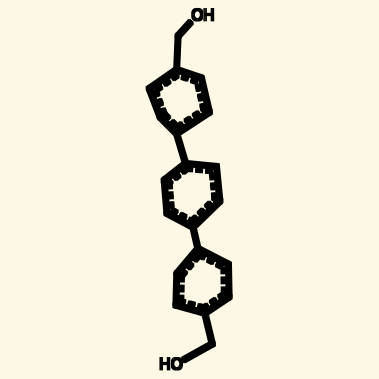 OCc1ccc(-c2ccc(-c3ccc(CO)cc3)cc2)cc1